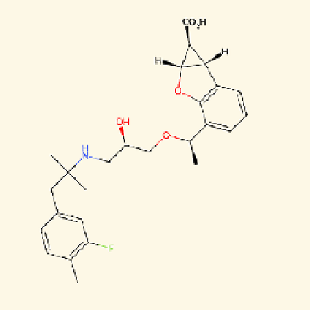 Cc1ccc(CC(C)(C)NC[C@@H](O)CO[C@H](C)c2cccc3c2O[C@@H]2[C@@H](C(=O)O)[C@H]32)cc1F